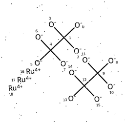 [O-]C([O-])([O-])C([O-])([O-])[O-].[O-]C([O-])([O-])C([O-])([O-])[O-].[Ru+4].[Ru+4].[Ru+4]